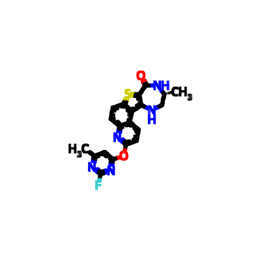 Cc1cc(Oc2ccc3c(ccc4sc5c(c43)NC[C@@H](C)NC5=O)n2)nc(F)n1